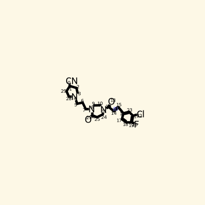 N#CC1CCN(CCCN2CCN(C(=O)/C=C/c3ccc(F)c(Cl)c3)CCC2=O)CC1